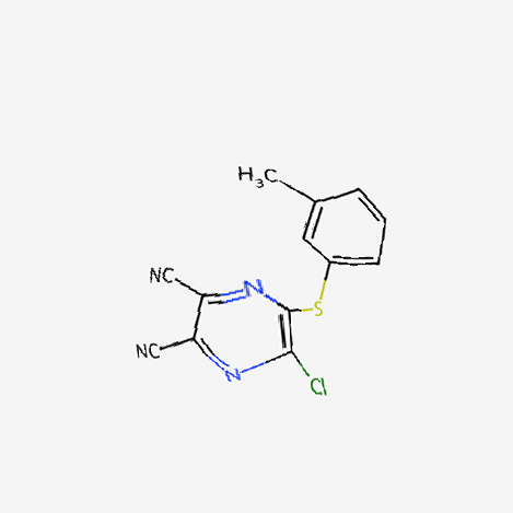 Cc1cccc(Sc2nc(C#N)c(C#N)nc2Cl)c1